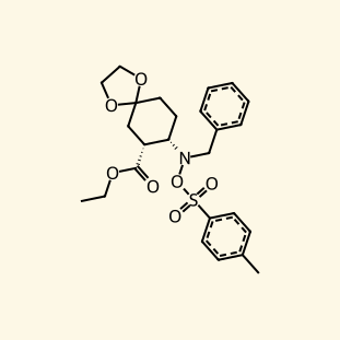 CCOC(=O)[C@@H]1CC2(CC[C@@H]1N(Cc1ccccc1)OS(=O)(=O)c1ccc(C)cc1)OCCO2